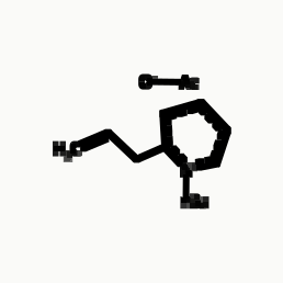 C=CCc1cccc[n+]1CCCC.CC(=O)[O-]